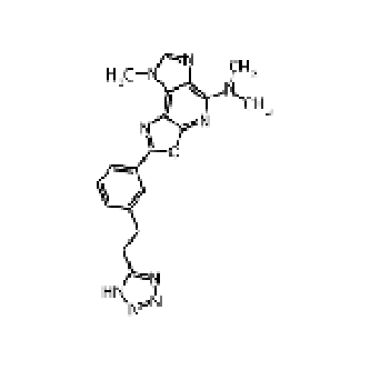 CN(C)c1nc2oc(-c3cccc(CCc4nnn[nH]4)c3)nc2c2c1ncn2C